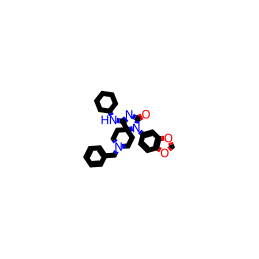 O=C1N=C(NC2CCCCC2)C2(CCN(Cc3ccccc3)CC2)N1c1ccc2c(c1)OCO2